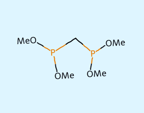 COP(CP(OC)OC)OC